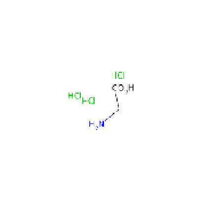 Cl.Cl.Cl.NCC(=O)O